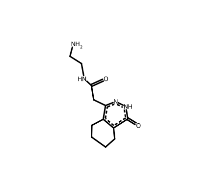 NCCNC(=O)Cc1n[nH]c(=O)c2c1CCCC2